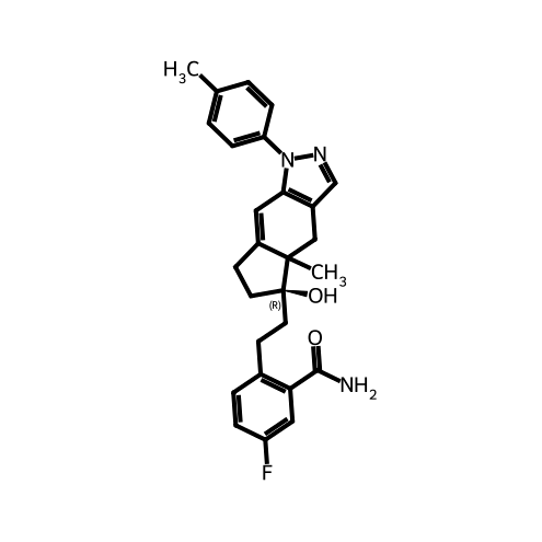 Cc1ccc(-n2ncc3c2C=C2CC[C@@](O)(CCc4ccc(F)cc4C(N)=O)C2(C)C3)cc1